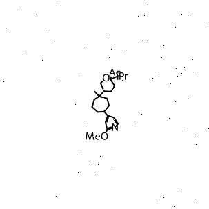 COc1cc(C2CCCC(C)(C3CCC(C(C)=O)(C(C)C)OC3)CC2)ccn1